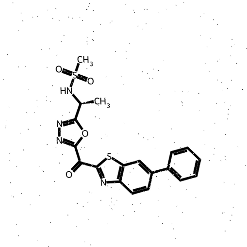 C[C@H](NS(C)(=O)=O)c1nnc(C(=O)c2nc3ccc(-c4ccccc4)cc3s2)o1